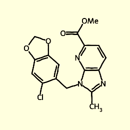 COC(=O)c1ccc2nc(C)n(Cc3cc4c(cc3Cl)OCO4)c2n1